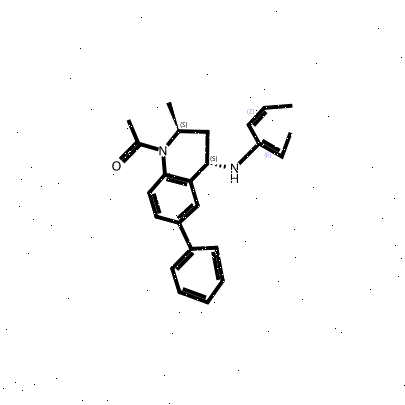 C/C=C\C(=C/C)N[C@H]1C[C@H](C)N(C(C)=O)c2ccc(-c3ccccc3)cc21